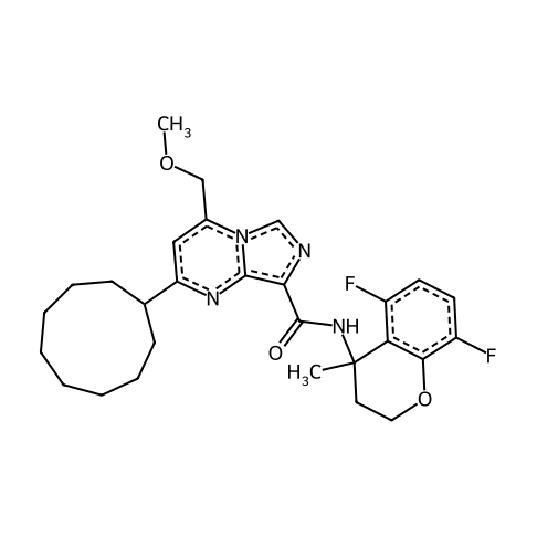 COCc1cc(C2CCCCCCCC2)nc2c(C(=O)NC3(C)CCOc4c(F)ccc(F)c43)ncn12